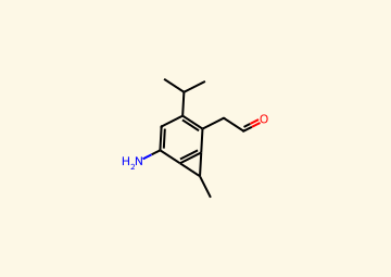 CC(C)c1cc(N)c2c(c1CC=O)C2C